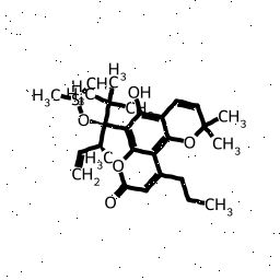 C=C[C@H](C)[C@@](O[SiH](C)C)(c1c(O)c2c(c3c(CCC)cc(=O)oc13)OC(C)(C)C=C2)C(C)(C)C